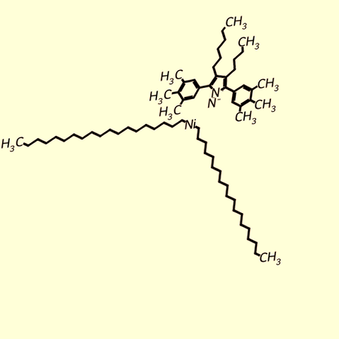 CCCCCCC1=C(c2cc(C)c(C)c(C)c2)[N+](=[N-])C(c2cc(C)c(C)c(C)c2)=C1CCCC.CCCCCCCCCCCCCCCCCC[CH2][Ni][CH2]CCCCCCCCCCCCCCCCCC